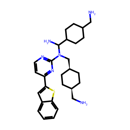 NCC1CCC(C(N)N(C[C@H]2CC[C@@H](CN)CC2)c2nccc(-c3cc4ccccc4s3)n2)CC1